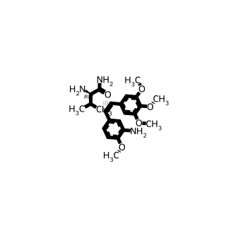 CC(C)[C@@H](N)C(N)=O.COc1ccc(/C=C\c2cc(OC)c(OC)c(OC)c2)cc1N